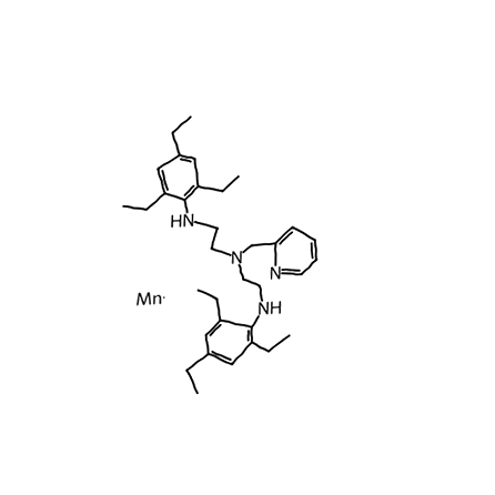 CCc1cc(CC)c(NCCN(CCNc2c(CC)cc(CC)cc2CC)Cc2ccccn2)c(CC)c1.[Mn]